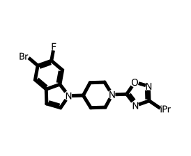 CC(C)c1noc(N2CCC(n3ccc4cc(Br)c(F)cc43)CC2)n1